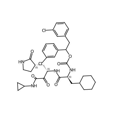 O=C(N[C@@H](CC1CCCCC1)C(=O)N[C@@H](C[C@@H]1CCNC1=O)C(=O)C(=O)NC1CC1)OC(Cc1cccc(Cl)c1)c1cccc(Cl)c1